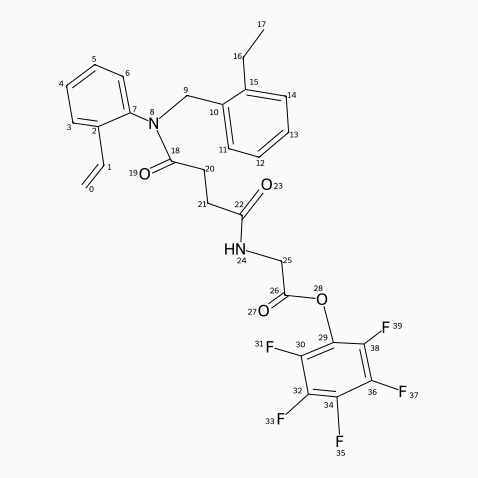 C=Cc1ccccc1N(Cc1ccccc1CC)C(=O)CCC(=O)NCC(=O)Oc1c(F)c(F)c(F)c(F)c1F